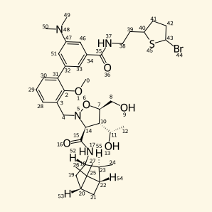 COc1c(CN2O[C@@H](CO)[C@H]([C@H](C)O)[C@H]2C(=O)N[C@H]2C[C@H]3C[C@@H]([C@@H]2C)C3(C)C)cccc1-c1cc(C(=O)NCCC2CCC(Br)S2)cc(N(C)C)c1